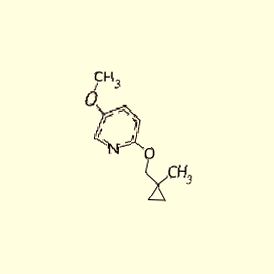 COc1ccc(OCC2(C)CC2)nc1